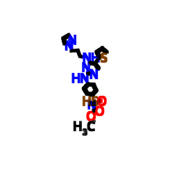 CCOC(=O)N=[SH](=O)c1ccc(Nc2ncc(-c3cccs3)c(NCCCn3cccn3)n2)cc1